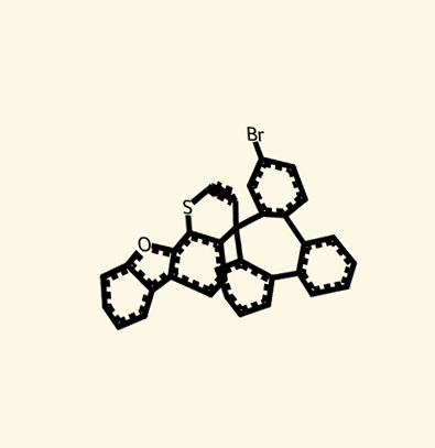 Brc1ccc2c(c1)C1(c3ccccc3Sc3c1ccc1c3oc3ccccc31)c1ccccc1-c1ccccc1-2